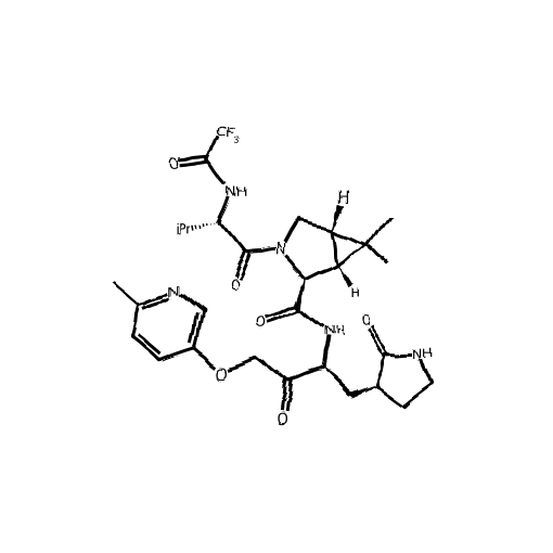 Cc1ccc(OCC(=O)[C@H](C[C@@H]2CCNC2=O)NC(=O)[C@@H]2[C@@H]3[C@H](CN2C(=O)[C@@H](NC(=O)C(F)(F)F)C(C)C)C3(C)C)cn1